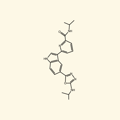 CC(C)NC(=O)c1cccc(-c2c[nH]c3ccc(-c4nnc(NC(C)C)o4)cc23)n1